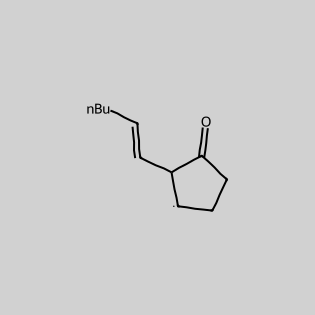 CCCC/C=C/C1[CH]CCC1=O